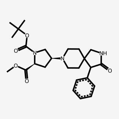 COC(=O)[C@@H]1C[C@H](N2CCC3(CC2)CNC(=O)C3c2ccccc2)CN1C(=O)OC(C)(C)C